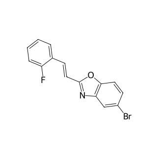 Fc1ccccc1/C=C/c1nc2cc(Br)ccc2o1